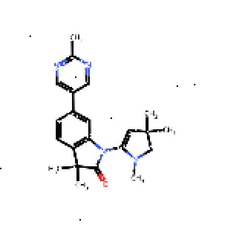 Cc1ncc(-c2ccc3c(c2)N(C2=CC(C)(C)CN2C)C(=O)C3(C)C)cn1